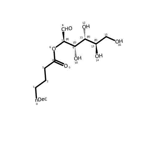 CCCCCCCCCCCCCC(=O)O[C@@H](C=O)[C@@H](O)[C@H](O)[C@H](O)CO